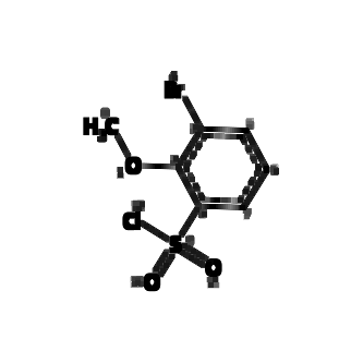 COc1c(Br)cccc1S(=O)(=O)Cl